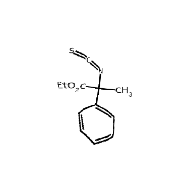 CCOC(=O)C(C)(N=C=S)c1ccccc1